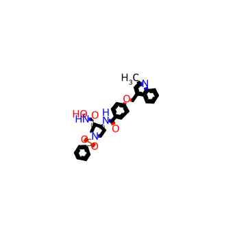 Cc1cc(COc2ccc(C(=O)N[C@@H]3CCN(S(=O)(=O)c4ccccc4)C[C@@H]3C(=O)NO)cc2)c2ccccc2n1